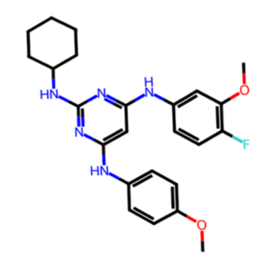 COc1ccc(Nc2cc(Nc3ccc(F)c(OC)c3)nc(NC3CCCCC3)n2)cc1